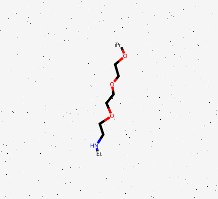 CCNCCOCCOCCOC(C)C